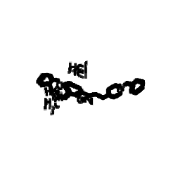 CN(C)Cc1c(OCc2ccccc2C#N)ccc2c(CCC3CCN(Cc4ccccc4)CC3)noc12.Cl.Cl